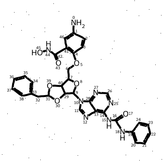 Nc1ccc(OCC2OC(n3cnc4c(NC(=O)Nc5ccccc5)ncnc43)C3OC(Cc4ccccc4)OC23)c(C(=O)NO)c1